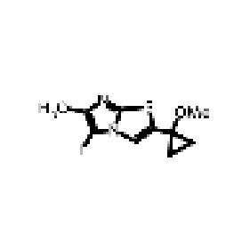 COC1(c2cn3c(I)c(C)nc3s2)CC1